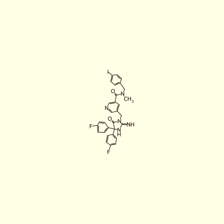 CN(Cc1ccc(I)cc1)C(=O)c1cncc(CN2C(=N)NC(c3ccc(F)cc3)(c3ccc(F)cc3)C2=O)c1